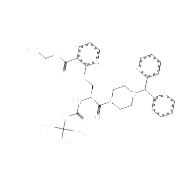 CCOC(=O)c1cccnc1SC[C@H](NC(=O)OC(C)(C)C)C(=O)N1CCN(C(c2ccccn2)c2ccccn2)CC1